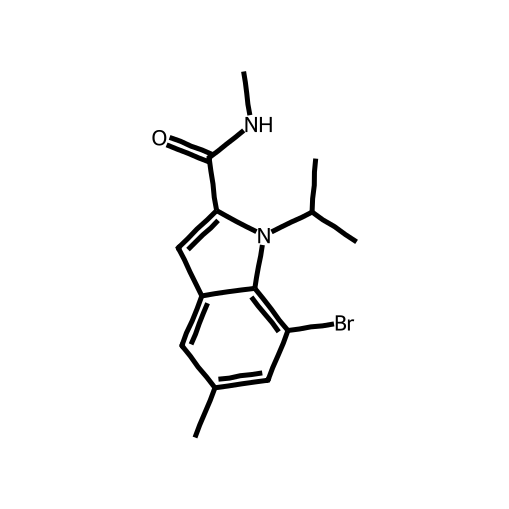 CNC(=O)c1cc2cc(C)cc(Br)c2n1C(C)C